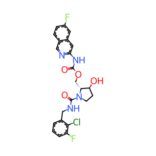 O=C(Nc1cc2cc(F)ccc2cn1)OC[C@@H]1[C@@H](O)CCN1C(=O)NCc1cccc(F)c1Cl